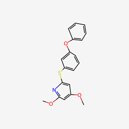 COc1cc(OC)nc(Sc2cccc(Oc3ccccc3)c2)c1